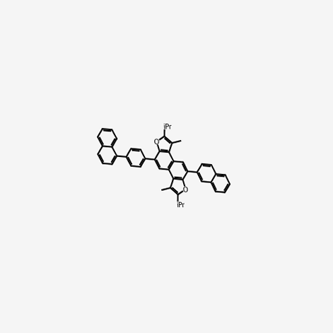 Cc1c(C(C)C)oc2c(-c3ccc(-c4cccc5ccccc45)cc3)cc3c(cc(-c4ccc5ccccc5c4)c4oc(C(C)C)c(C)c43)c12